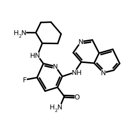 NC(=O)c1cc(F)c(NC2CCCCC2N)nc1Nc1cncc2cccnc12